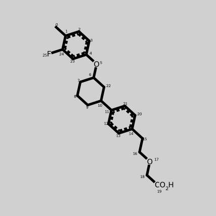 Cc1ccc(OC2CCCC(c3ccc(CCOCC(=O)O)cc3)C2)cc1F